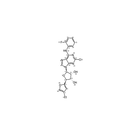 CCc1cc([C@H]2O[C@@H](n3cnc4c(Nc5ccccc5F)nc(Cl)nc43)[C@H](O)[C@@H]2O)on1